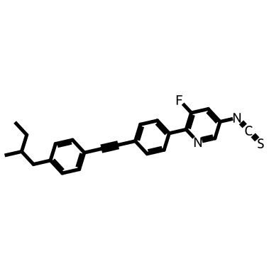 CCC(C)Cc1ccc(C#Cc2ccc(-c3ncc(N=C=S)cc3F)cc2)cc1